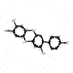 Clc1ccc(-c2cc3c(cc2Cl)Sc2cc(Cl)c(Cl)cc2S3)cc1